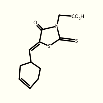 O=C(O)CN1C(=O)C(=CC2CC=CCC2)SC1=S